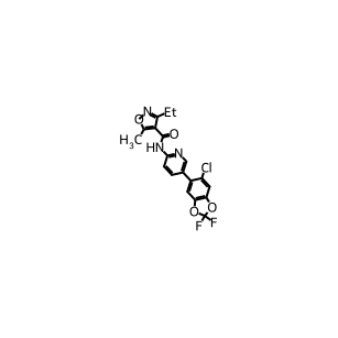 CCc1noc(C)c1C(=O)Nc1ccc(-c2cc3c(cc2Cl)OC(F)(F)O3)cn1